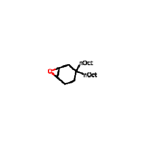 CCCCCCCCC1(CCCCCCCC)CCC2OC2C1